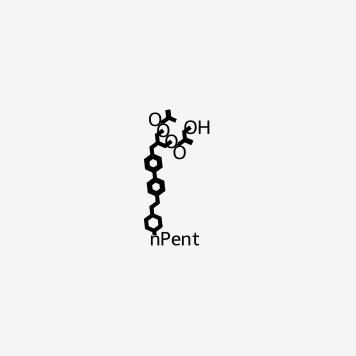 C=C(C)C(=O)OCC(COC(=O)C(=C)CO)Cc1ccc(-c2ccc(CCC3CCC(CCCCC)CC3)cc2)cc1